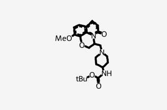 COc1ccc2ccc(=O)n3c2c1OCC3CN1CCC(NC(=O)OC(C)(C)C)CC1